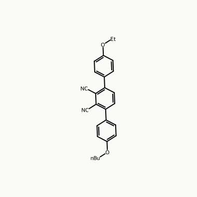 CCCCOc1ccc(-c2ccc(-c3ccc(OCC)cc3)c(C#N)c2C#N)cc1